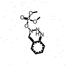 COP(=O)(OC)ON1C=c2ccccc2=NN1